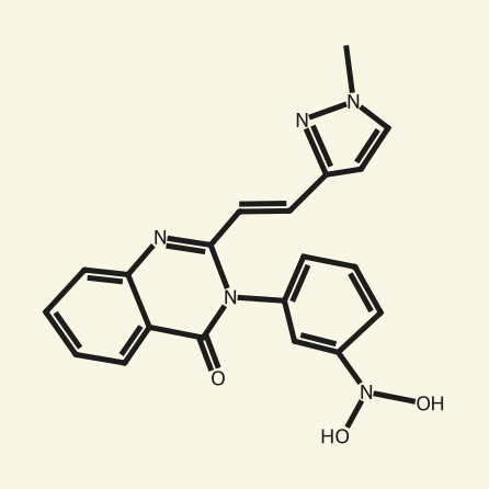 Cn1ccc(/C=C/c2nc3ccccc3c(=O)n2-c2cccc(N(O)O)c2)n1